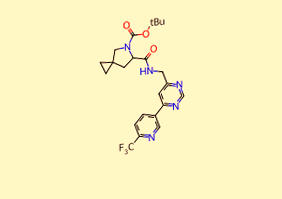 CC(C)(C)OC(=O)N1CC2(CC2)CC1C(=O)NCc1cc(-c2ccc(C(F)(F)F)nc2)ncn1